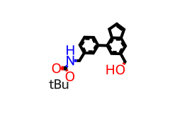 CC(C)(C)OC(=O)NCc1cccc(-c2cc(CO)cc3c2CC=C3)c1